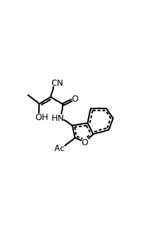 CC(=O)c1oc2ccccc2c1NC(=O)C(C#N)=C(C)O